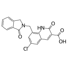 O=C(O)c1cc2cc(Cl)cc(CN3Cc4ccccc4C3=O)c2[nH]c1=O